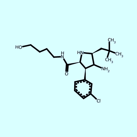 CC(C)(C)C[C@@H]1N[C@H](C(=O)NCCCCO)[C@H](c2cccc(Cl)c2)C1N